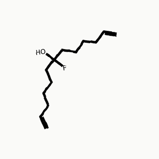 C=CCCCCC(O)(F)CCCCC=C